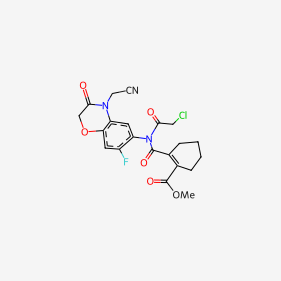 COC(=O)C1=C(C(=O)N(C(=O)CCl)c2cc3c(cc2F)OCC(=O)N3CC#N)CCCC1